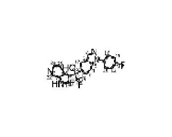 OC(c1ccc2c(cnn2-c2ccc(F)cc2)c1)(c1c[nH]c2cnccc12)C(F)(F)F